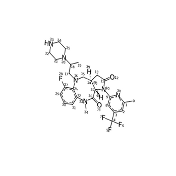 Cc1cc(C(F)(F)F)cc(N2C(=O)C[C@@H]3CN(CC(C)N4CCNCC4)c4c(F)cccc4N(C)C(=O)[C@H]32)n1